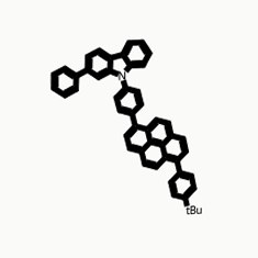 CC(C)(C)c1ccc(-c2ccc3ccc4c(-c5ccc(-n6c7ccccc7c7ccc(-c8ccccc8)cc76)cc5)ccc5ccc2c3c54)cc1